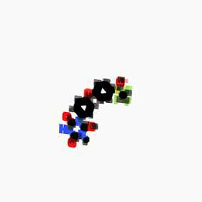 Cn1c(=O)[nH]c(=O)n(-c2ccc(Oc3ccc([S+]([O-])C(F)(F)F)cc3)cc2)c1=O